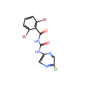 O=C(NC(=O)c1c(Br)cccc1Br)Nc1cnc(Cl)cn1